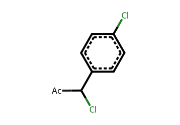 CC(=O)C(Cl)c1ccc(Cl)cc1